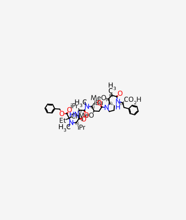 CCC(C)[C@@H](C(CC(=O)N1CCC[C@H]1[C@H](OC)[C@@H](C)C(=O)N[C@@H](Cc1ccccc1)C(=O)O)OC)N(C)C(=O)[C@@H](NC(=O)[C@H](C(C)C)N(C)C(C)(CC)C(=O)OCc1ccccc1)C(C)C